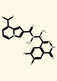 C[C@@H](c1n[nH]c(=O)c2cc(F)c(F)cc12)N(C)C(=O)c1cc2c(C(F)F)cccn2c1